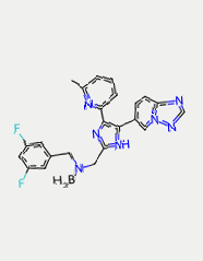 BN(Cc1cc(F)cc(F)c1)Cc1nc(-c2cccc(C)n2)c(-c2ccc3ncnn3c2)[nH]1